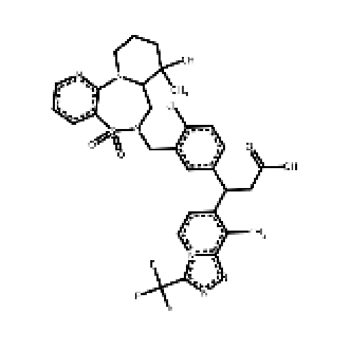 Cc1c(C(CC(=O)O)c2ccc(Cl)c(CN3CC4N(CCCC4(C)C)c4ncccc4S3(=O)=O)c2)ccn2c(C(F)(F)F)nnc12